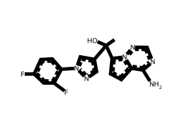 CC(O)(c1cnn(-c2ccc(F)cc2F)c1)c1ccc2c(N)ncnn12